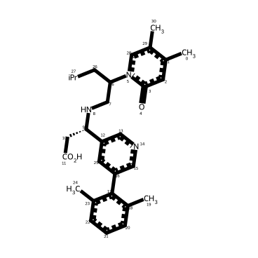 Cc1cc(=O)n(C(CN[C@@H](CC(=O)O)c2cncc(-c3c(C)cccc3C)c2)CC(C)C)cc1C